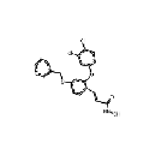 O=C(C=Cc1ccc(OCc2cccnc2)cc1Oc1ccc(Cl)c(Cl)c1)NO